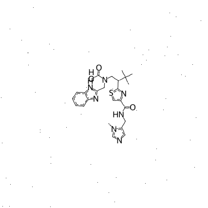 Cn1cncc1CNC(=O)c1csc(C(CN(Cc2nc3ccccc3[nH]2)C(=O)O)C(C)(C)C)n1